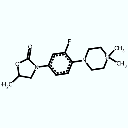 [CH2]C1CN(c2ccc(N3CC[Si](C)(C)CC3)c(F)c2)C(=O)O1